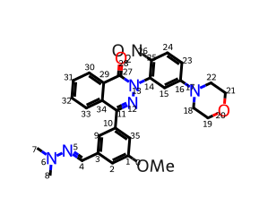 COc1cc(C=NN(C)C)cc(-c2nn(-c3cc(N4CCOCC4)ccc3[N+](=O)[O-])c(=O)c3ccccc23)c1